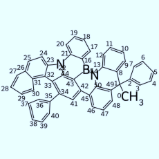 CC1(c2ccccc2)c2ccccc2N2B3c4ccccc4-n4c5ccc6ccccc6c5c5c(-c6ccccc6)cc(c3c54)-c3cccc1c32